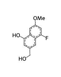 COc1cc(F)c2cc(CO)cc(O)c2c1